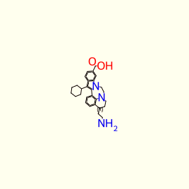 NCC[C@@H]1CCN2CCn3c(c(C4CCCCC4)c4ccc(C(=O)O)cc43)-c3cccc1c32